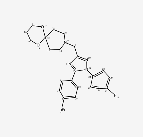 CC(C)c1ccc(-c2nc(CN3CCC4(CC3)OCCCO4)nn2-c2ccc(F)cc2)cc1